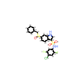 O=S(=O)(Nc1cc(F)c(Cl)cc1F)c1c[nH]c2cc([S+]([O-])Cc3ccccc3)ccc12